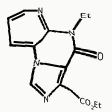 CCOC(=O)c1ncn2c1c(=O)n(CC)c1ncccc12